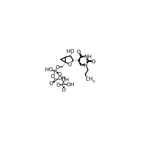 CCCn1cc([C@@H]2O[C@@]3(COP(=O)(O)OP(=O)(O)OP(=O)(O)O)CC3[C@@H]2O)c(=O)[nH]c1=O